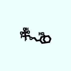 O=S(=O)(O)C(F)(F)COCCC1CC2CCCC(O)(C2)C1